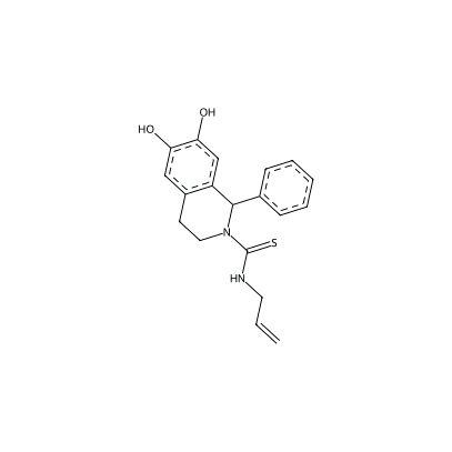 C=CCNC(=S)N1CCc2cc(O)c(O)cc2C1c1ccccc1